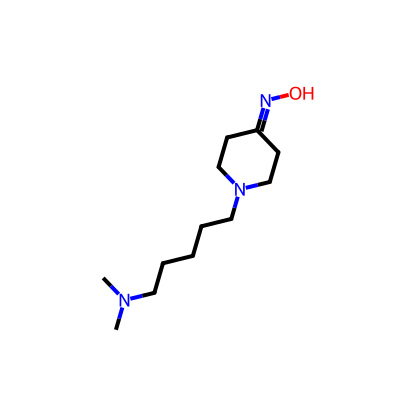 CN(C)CCCCCN1CCC(=NO)CC1